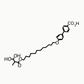 CC(C(=O)OCCCCCCCCCCCCOc1ccc(-c2ccc(C(=O)O)cc2)cc1)C(O)O